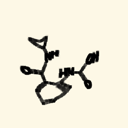 O=C(O)Nc1ccccc1C(=O)NC1CC1